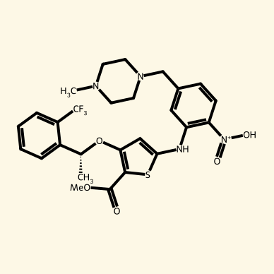 COC(=O)c1sc(Nc2cc(CN3CCN(C)CC3)ccc2[N+](=O)O)cc1O[C@H](C)c1ccccc1C(F)(F)F